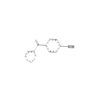 C=C(c1ccc(C#N)cc1)c1nc[nH]n1